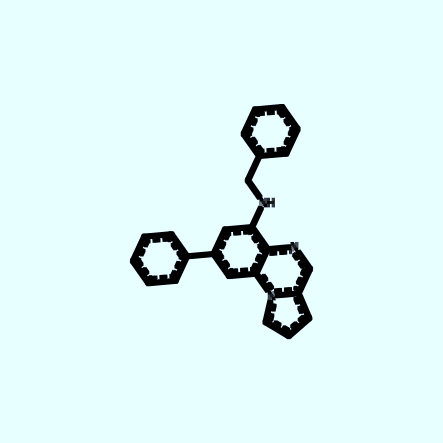 c1ccc(CNc2cc(-c3ccccc3)cc3c2ncc2cccn23)cc1